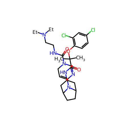 CCN(CC)CCNC(=O)N1C=NC(N2C3CCC2CC(NC(=O)C(C)(C)Oc2ccc(Cl)cc2Cl)C3)=CC1